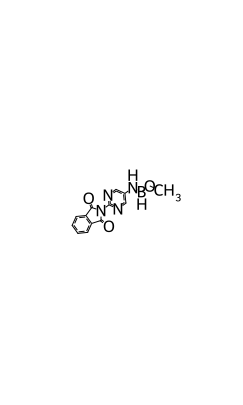 COBNc1cnc(N2C(=O)c3ccccc3C2=O)nc1